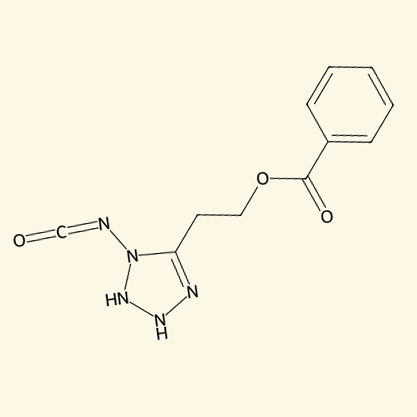 O=C=NN1NNN=C1CCOC(=O)c1ccccc1